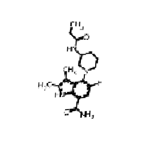 CCC(=O)NC1CCCN(c2c(F)cc(C(N)=O)c3[nH]c(C)c(C)c23)C1